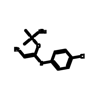 CCC=C(O[Si](C)(C)C(C)(C)C)Sc1ccc(Cl)cc1